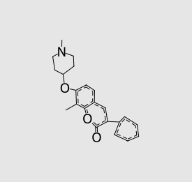 Cc1c(OC2CCN(C)CC2)ccc2cc(-c3ccccc3)c(=O)oc12